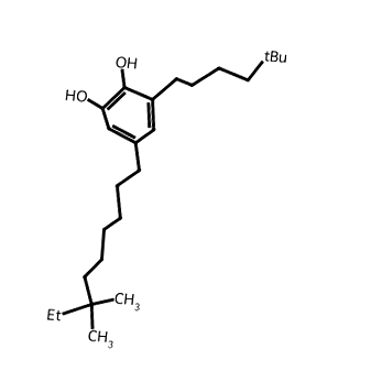 CCC(C)(C)CCCCCCc1cc(O)c(O)c(CCCCC(C)(C)C)c1